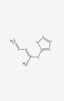 C=CC=C(C)CC1=CC=CC1